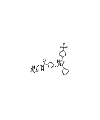 O=C(NCc1nn[nH]n1)c1ccc(Cn2nc(-c3ccc(C(F)(F)F)cc3)cc2-c2ccccc2)cc1